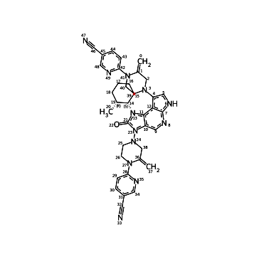 C=C1CN(c2c[nH]c3ncc4c(c23)n([C@H]2CCCC[C@H]2C)c(=O)n4N2CCN(c3ccc(C#N)cn3)C(=C)C2)CCN1c1ccc(C#N)cn1